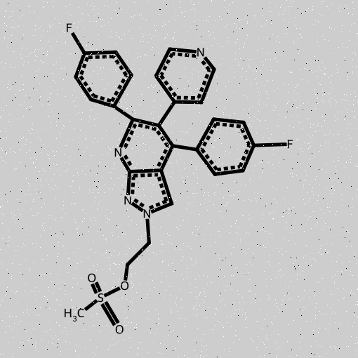 CS(=O)(=O)OCCn1cc2c(-c3ccc(F)cc3)c(-c3ccncc3)c(-c3ccc(F)cc3)nc2n1